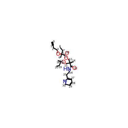 C#CCCOC(C)(CC)C(=O)OCC(C)(COC(C)CC)C(=O)NCCc1ccccn1